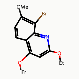 CCOc1cc(OC(C)C)c2ccc(OC)c(Br)c2n1